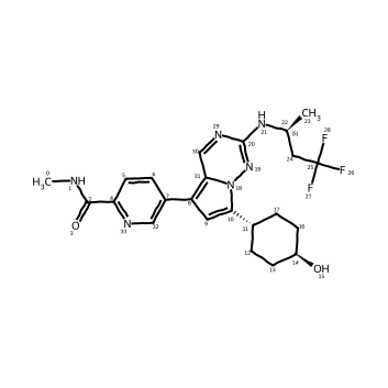 CNC(=O)c1ccc(-c2cc([C@H]3CC[C@H](O)CC3)n3nc(N[C@@H](C)CC(F)(F)F)ncc23)cn1